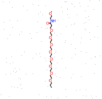 CCCOCCOCCOCCOCCOCCOCCOCCOCCC(=O)NCCOC